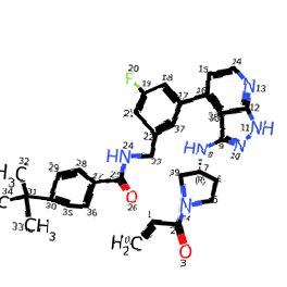 C=CC(=O)N1CC[C@@H](Nc2n[nH]c3nccc(-c4cc(F)cc(CNC(=O)c5ccc(C(C)(C)C)cc5)c4)c23)C1